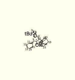 CC(C)(C)[Si](C)(C)OC=C(C(O)Cc1ccccc1)C12CC3CC(CC(C3)C1)C2